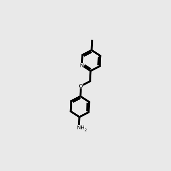 Cc1ccc(COC2=CCC(N)C=C2)nc1